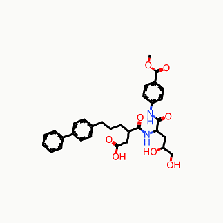 COC(=O)c1ccc(NC(=O)C(CC(O)CO)NC(=O)C(CCCc2ccc(-c3ccccc3)cc2)CC(=O)O)cc1